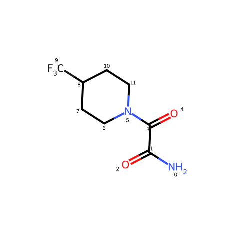 NC(=O)C(=O)N1CCC(C(F)(F)F)CC1